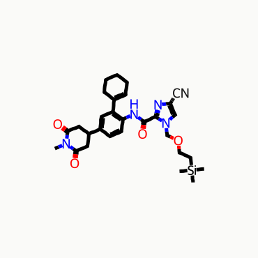 CN1C(=O)CC(c2ccc(NC(=O)c3nc(C#N)cn3COCC[Si](C)(C)C)c(C3=CCCCC3)c2)CC1=O